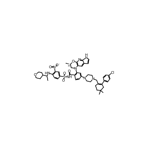 CC(Nc1ccc(S(=O)(=O)NC(=O)c2ccc(N3CCN(CC4=C(c5ccc(Cl)cc5)CC(C)(C)CC4)CC3)cc2N2C[C@@H](C)Oc3nc4[nH]ccc4cc32)cc1[N+](=O)[O-])C1CCOCC1